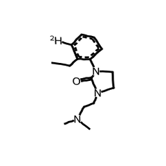 [2H]c1cccc(N2CCN(CCN(C)C)C2=O)c1CC